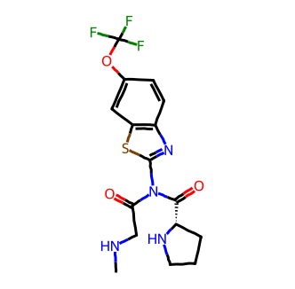 CNCC(=O)N(C(=O)[C@@H]1CCCN1)c1nc2ccc(OC(F)(F)F)cc2s1